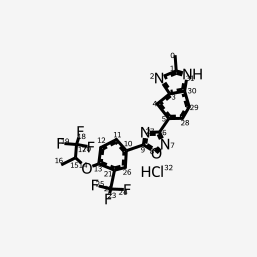 Cc1nc2cc(-c3noc(-c4ccc(OC(C)C(F)(F)F)c(C(F)(F)F)c4)n3)ccc2[nH]1.Cl